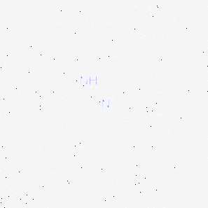 CCCCN=C1NCc2ccccc21